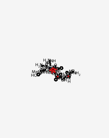 CCCC[C@@H](C(=O)N[C@@H](CCCNC(=N)N)C(=O)NC(CSCC(=O)N[C@@H](Cc1ccc(O)cc1)C(=O)NC)C(=O)NCC(N)=O)N(C)C(=O)[C@H](CCSC)N(C)C(=O)[C@H](Cc1csc2ccccc12)NC(=O)[C@H](CO)NC(=O)[C@H](Cc1c[nH]c2ccccc12)NC(=O)[C@@H]1CCCN1C(=O)[C@H](CO)NC(=O)[C@H](Cc1cnc[nH]1)NC(=O)[C@@H]1CCCN1C(=O)[C@@H](N)CC(N)=O